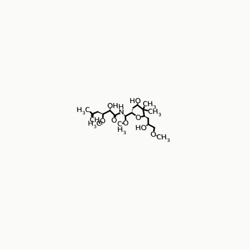 C=C(C)C[C@H](OC)[C@H](O)C(=O)N[C@@H](OC)[C@@H]1C[C@@H](O)C(C)(C)[C@@H](C[C@H](O)COC)O1